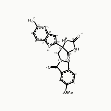 COc1ccc2c(c1)C(=O)N(C[C@@]1(c3cc4nc(C)ccc4o3)NC(=O)NC1=O)C2